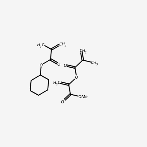 C=C(C)C(=O)OC(=C)C(=O)OC.C=C(C)C(=O)OC1CCCCC1